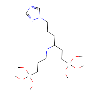 CO[Si](CCCNC(CCCn1cncn1)CC[Si](OC)(OC)OC)(OC)OC